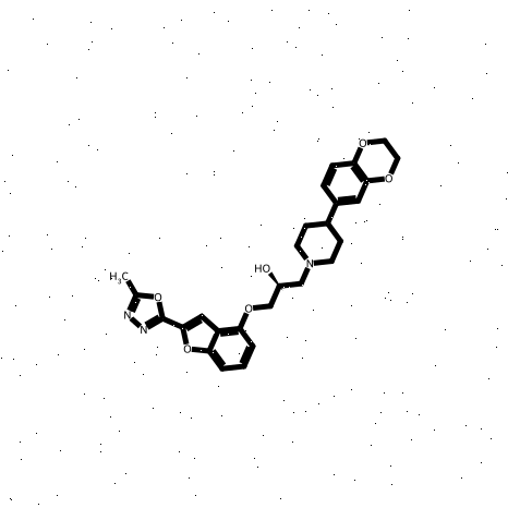 Cc1nnc(-c2cc3c(OC[C@@H](O)CN4CCC(c5ccc6c(c5)OCCO6)CC4)cccc3o2)o1